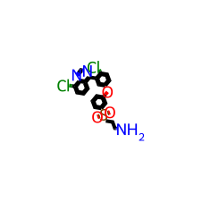 NCCCS(=O)(=O)c1cccc(Oc2ccc(Cl)c(-c3ncnc4c(Cl)cccc34)c2)c1